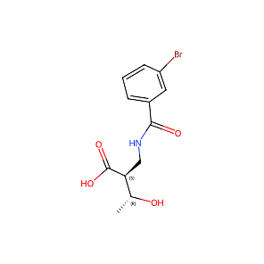 C[C@@H](O)[C@H](CNC(=O)c1cccc(Br)c1)C(=O)O